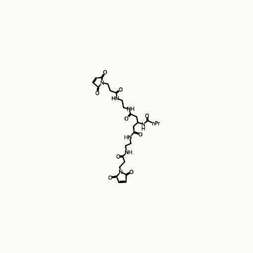 CCCC(=O)NC(CC(=O)NCCNC(=O)CCN1C(=O)C=CC1=O)CC(=O)NCCNC(=O)CCN1C(=O)C=CC1=O